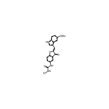 CCNC(=O)Nc1ccc2c(c1)C(=O)/C(=C/c1c[nH]c3ccc(OC)cc13)O2